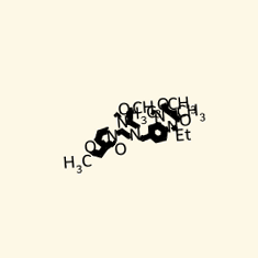 CCN1C(=O)C(C)(C)C(=O)N(C)c2cc(CN(CCn3ccc4oc(C)cc4c3=O)Cc3ncoc3C)ccc21